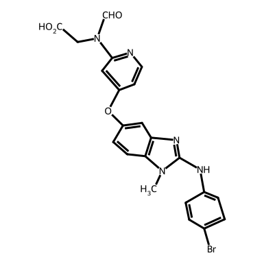 Cn1c(Nc2ccc(Br)cc2)nc2cc(Oc3ccnc(N(C=O)CC(=O)O)c3)ccc21